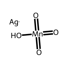 [Ag].[O]=[Mn](=[O])(=[O])[OH]